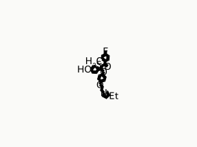 CC[C@@H]1CCN(CCOc2ccc(Oc3c(C(=O)c4ccc(F)cc4C)sc4cc(O)ccc34)cc2)C1